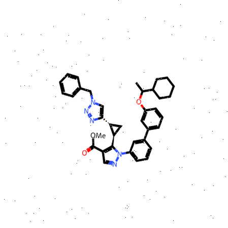 COC(=O)c1cnn(-c2cccc(-c3cccc(OC(C)C4CCCCC4)c3)c2)c1[C@@H]1C[C@H]1c1cn(Cc2ccccc2)nn1